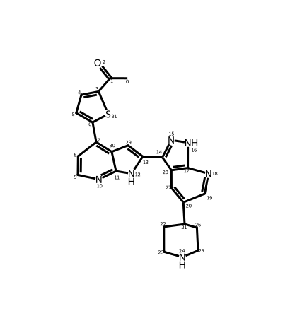 CC(=O)c1ccc(-c2ccnc3[nH]c(-c4n[nH]c5ncc(C6CCNCC6)cc45)cc23)s1